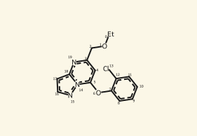 CCOCc1cc(Oc2ccccc2Cl)n2nccc2n1